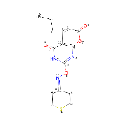 CC(C)CCc1cc(=O)oc2nc(ON=C3CCSCC3)[nH]c(=O)c12